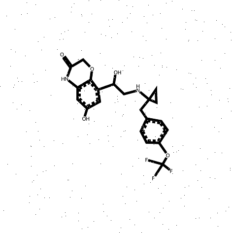 O=C1COc2c(cc(O)cc2C(O)CNC2(Cc3ccc(OC(F)(F)F)cc3)CC2)N1